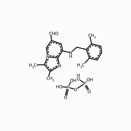 Cc1cccc(C)c1CNc1cc(C=O)cn2c(C)c(C)nc12.O=P(O)(O)OP(=O)(O)O